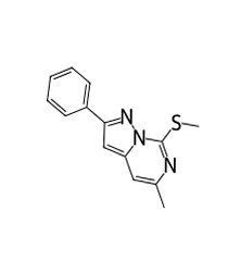 CSc1nc(C)cc2cc(-c3ccccc3)nn12